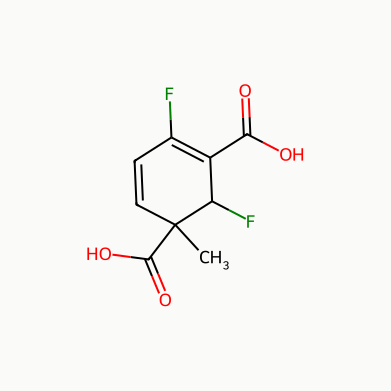 CC1(C(=O)O)C=CC(F)=C(C(=O)O)C1F